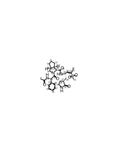 CC(=O)N[C@@H](C(=O)N1C[C@@H]2CCC[C@@H]2[C@H]1C(=O)N[C@H](/C=C(/F)S(C)(=O)=O)C[C@@H]1CCNC1=O)c1ccccc1